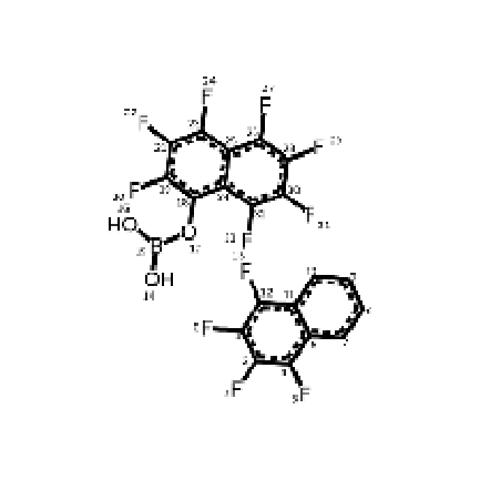 Fc1c(F)c(F)c2ccccc2c1F.OB(O)Oc1c(F)c(F)c(F)c2c(F)c(F)c(F)c(F)c12